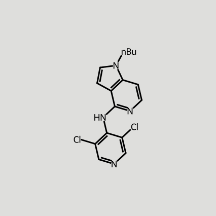 CCCCn1ccc2c(Nc3c(Cl)cncc3Cl)nccc21